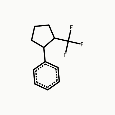 FC(F)(F)C1CCCC1c1ccccc1